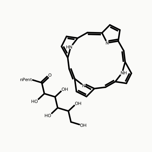 C1=Cc2cc3ccc(cc4nc(cc5ccc(cc1n2)[nH]5)C=C4)[nH]3.CCCCCC(=O)C(O)C(O)C(O)C(O)CO